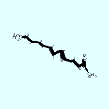 CCCC=CC=CC=CC=CC(C)=O